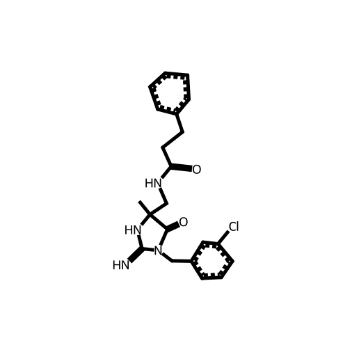 CC1(CNC(=O)CCc2ccccc2)NC(=N)N(Cc2cccc(Cl)c2)C1=O